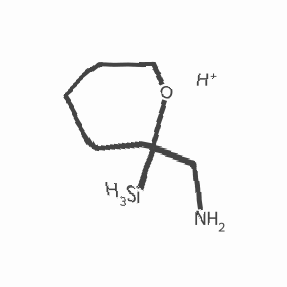 NCC1([SiH3])CCCCO1.[H+]